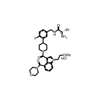 COCCn1cc(C(=O)N2CCC(c3cc(CNC(=O)[C@@H](N)C(C)C)ccc3F)CC2)c2c(C(=O)N3CCOCC3)cccc21.Cl